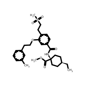 CC[C@H]1CC[C@](NC(=O)c2ccc(CCS(C)(=O)=O)c(OCCc3cccc(C)c3)c2)(C(=O)OC)CC1